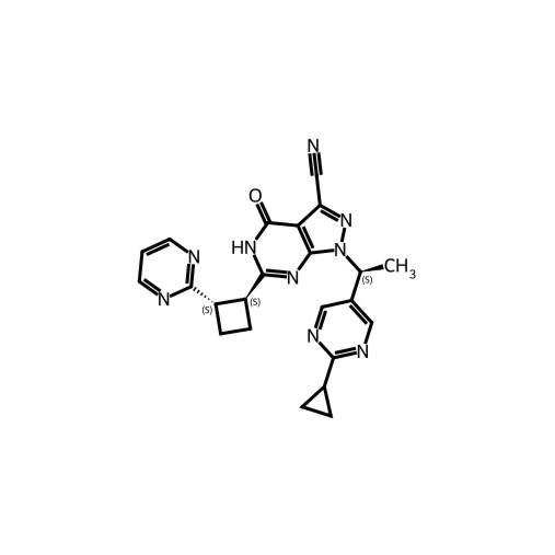 C[C@@H](c1cnc(C2CC2)nc1)n1nc(C#N)c2c(=O)[nH]c([C@H]3CC[C@@H]3c3ncccn3)nc21